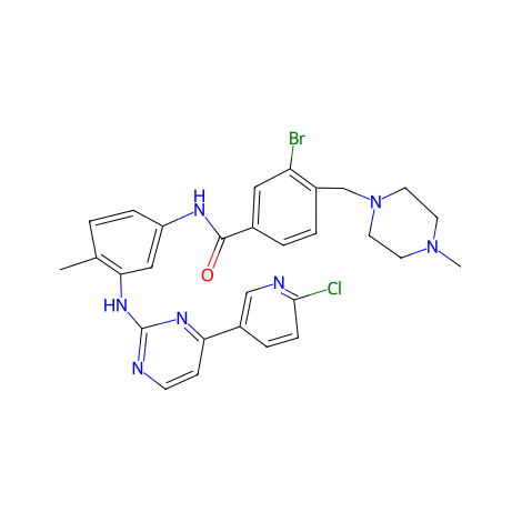 Cc1ccc(NC(=O)c2ccc(CN3CCN(C)CC3)c(Br)c2)cc1Nc1nccc(-c2ccc(Cl)nc2)n1